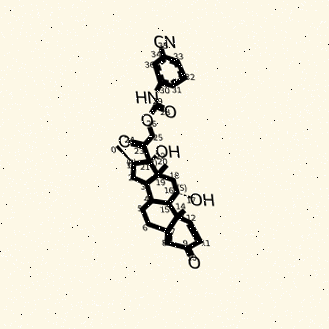 C[C@@H]1CC2C3CCC4=CC(=O)C=CC4(C)C3[C@@H](O)CC2(C)[C@@]1(O)C(=O)COC(=O)Nc1cccc(C#N)c1